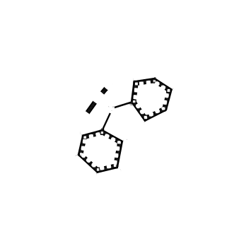 O=C=S.c1cc[c]([Al][c]2ccccc2)cc1